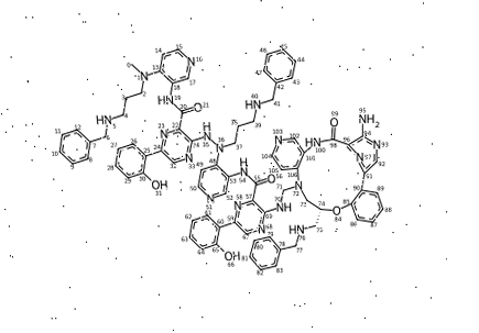 CN(CCCNCc1ccccc1)c1ccncc1NC(=O)c1nc(-c2ccccc2O)cnc1NN(CCCNCc1ccccc1)c1ccncc1NC(=O)c1nc(-c2ccccc2O)cnc1NCN1C[C@@H](CNCc2ccccc2)Oc2ccccc2-c2cnc(N)c(n2)C(=O)Nc2cnccc21